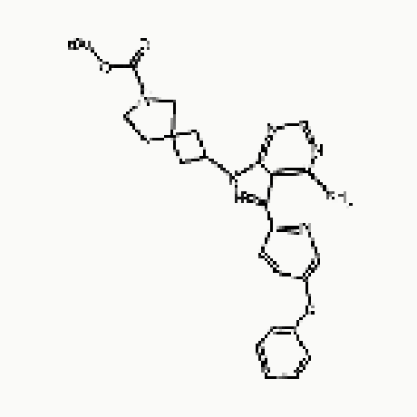 CC(C)(C)OC(=O)N1CCC2(CC(n3nc(-c4ccc(Oc5ccccc5)cn4)c4c(N)ncnc43)C2)C1